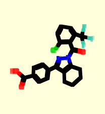 O=C(O)c1ccc(-c2nn(C(=O)c3c(Cl)cccc3C(F)(F)F)c3c2CCCC3)cc1